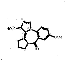 COc1ccc2c(c1)C(=O)N1CCCC1=C1C(C(=O)O)N=CN12